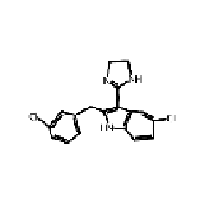 Clc1cccc(Cc2[nH]c3ccc(Cl)cc3c2C2=NCCN2)c1